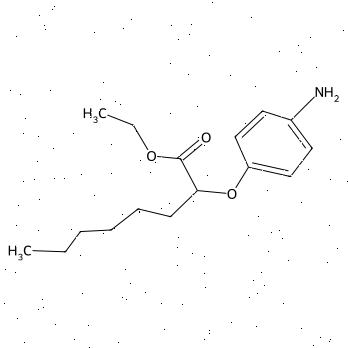 CCCCCCC(Oc1ccc(N)cc1)C(=O)OCC